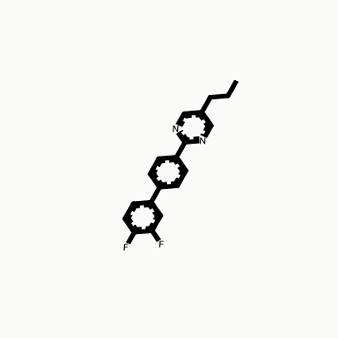 CCCc1cnc(-c2ccc(-c3ccc(F)c(F)c3)cc2)nc1